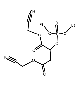 C#CCOC(=O)CC(OP(=O)(OCC)OCC)C(=O)OCC#C